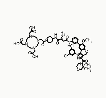 COc1cc2c(cc1-c1cccc(NC(=O)C[C@@H](N)C(=O)NC3CCN(C(=O)CN4CCN(CC(=O)O)CCN(CC(=O)O)CCN(CC(=O)O)CC4)CC3)c1)-c1c(c(C(=O)N3CCOCC3(C)C)nn1-c1cc(Cl)cc(Cl)c1)CO2